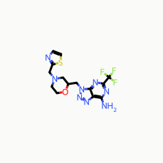 Nc1nc(C(F)(F)F)nc2c1nnn2CC1CN(Cc2nccs2)CCO1